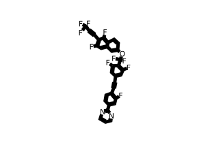 Fc1cc(-c2ncccn2)ccc1C#Cc1cc(F)c(C(F)(F)Oc2ccc3c(F)c(C#CC(F)(F)F)c(F)cc3c2)c(F)c1